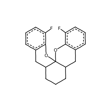 Fc1cccc2c1OC13Oc4c(F)cccc4CC1CCCC3C2